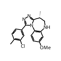 COc1ccc2c(c1)NC[C@@H](C)c1nnc(-c3ccc(C)c(Cl)c3)n1-2